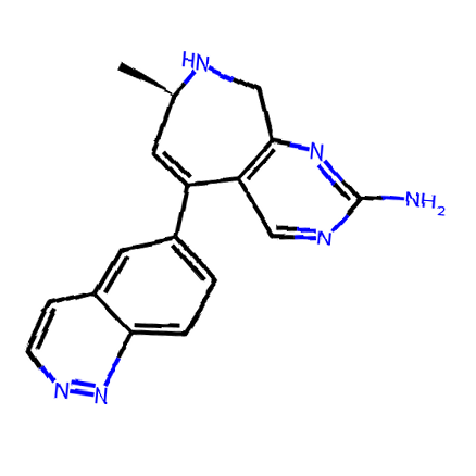 C[C@@H]1C=C(c2ccc3nnccc3c2)c2cnc(N)nc2CN1